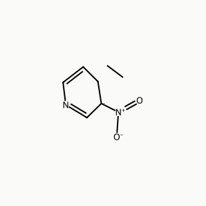 CC.O=[N+]([O-])[C]1C=NC=CC1